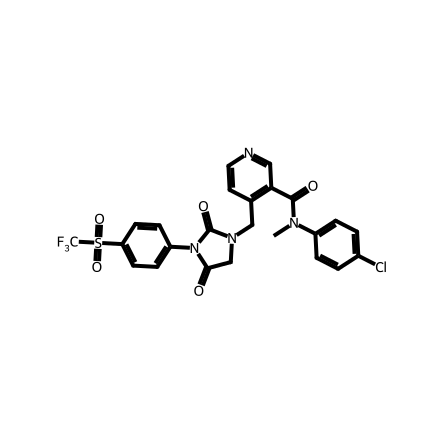 CN(C(=O)c1cnccc1CN1CC(=O)N(c2ccc(S(=O)(=O)C(F)(F)F)cc2)C1=O)c1ccc(Cl)cc1